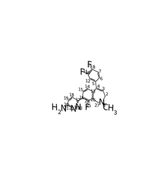 CN1CC=C(c2ccc(F)c(F)c2)c2ccc(-c3ccc(N)nn3)c(F)c2C1